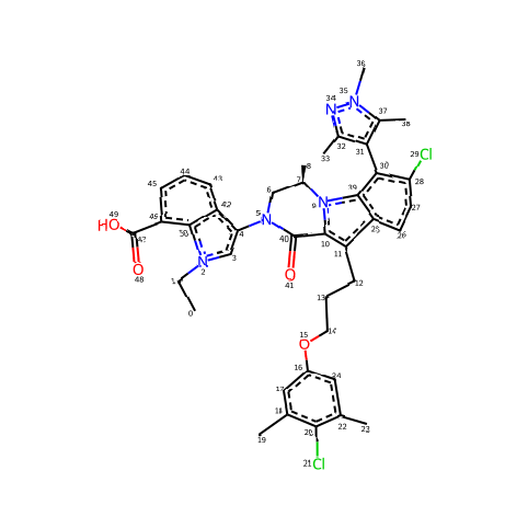 CCn1cc(N2C[C@@H](C)n3c(c(CCCOc4cc(C)c(Cl)c(C)c4)c4ccc(Cl)c(-c5c(C)nn(C)c5C)c43)C2=O)c2cccc(C(=O)O)c21